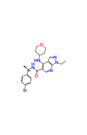 CCn1ncc2c(NC3CCOCC3)c(C(=O)N[C@H](C)c3ccc(Br)cc3)cnc21